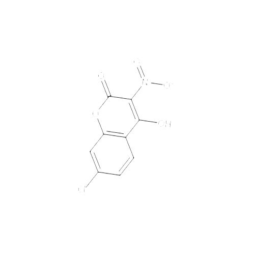 O=c1oc2cc(Cl)ccc2c(O)c1[N+](=O)[O-]